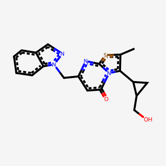 Cc1sc2nc(Cn3ncc4ccccc43)cc(=O)n2c1C1CC1CO